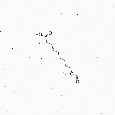 O=COCCCCCCCCC(=O)O